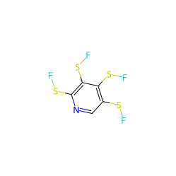 FSc1cnc(SF)c(SF)c1SF